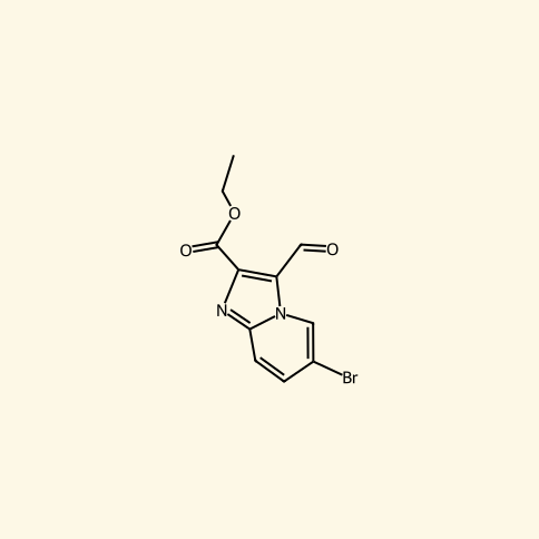 CCOC(=O)c1nc2ccc(Br)cn2c1C=O